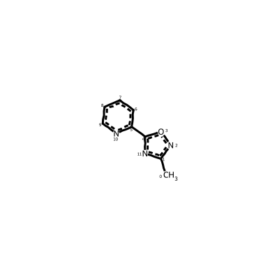 Cc1noc(-c2c[c]ccn2)n1